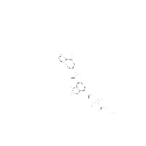 Cc1cn2cc(NC(=O)c3ccc(C4=C[C@H](C)N(C(=O)OC(C)(C)C)[C@H](C)C4)c4cn(C)nc34)cc(F)c2n1